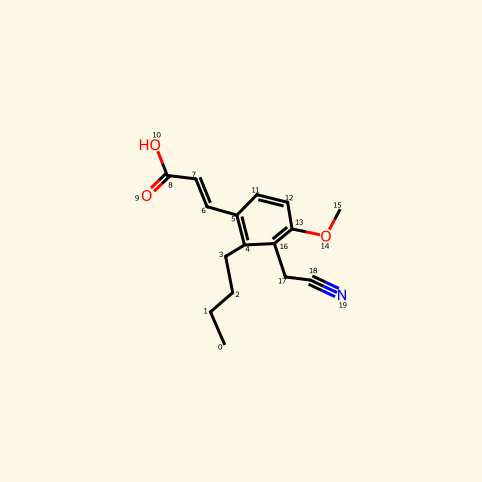 CCCCc1c(/C=C/C(=O)O)ccc(OC)c1CC#N